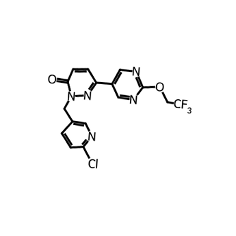 O=c1ccc(-c2cnc(OCC(F)(F)F)nc2)nn1Cc1ccc(Cl)nc1